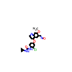 COc1cc2nccc(Oc3ccc(NC(=O)NC4CC4)c(Cl)c3)c2cc1CN=O